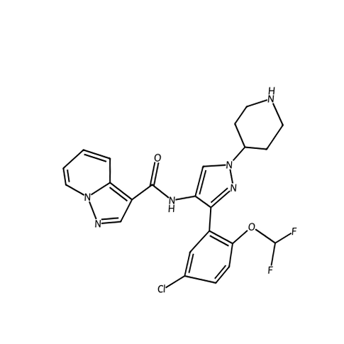 O=C(Nc1cn(C2CCNCC2)nc1-c1cc(Cl)ccc1OC(F)F)c1cnn2ccccc12